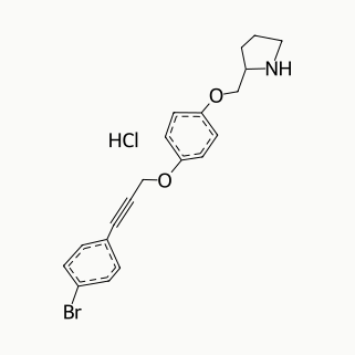 Brc1ccc(C#CCOc2ccc(OCC3CCCN3)cc2)cc1.Cl